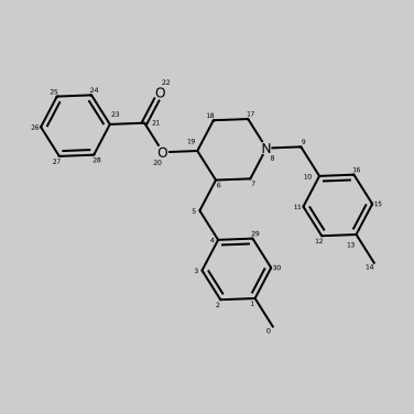 Cc1ccc(CC2CN(Cc3ccc(C)cc3)CCC2OC(=O)c2ccccc2)cc1